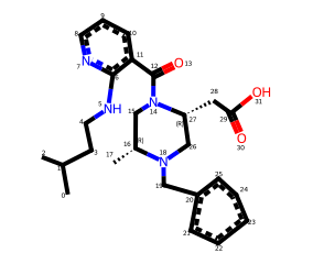 CC(C)CCNc1ncccc1C(=O)N1C[C@@H](C)N(Cc2ccccc2)C[C@H]1CC(=O)O